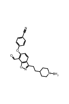 BN1CCC(CCc2noc3c(C=O)c(Oc4ccc(C#N)cc4)ccc23)CC1